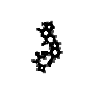 COc1cc(C)c2[nH]ccc2c1Cn1cc2ccc(C#N)c(NCC(=O)N(C)C3CCC3)c2n1